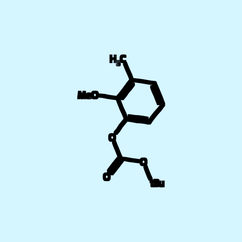 COc1c(C)cccc1OC(=O)OC(C)(C)C